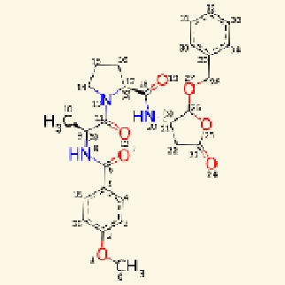 COc1ccc(C(=O)N[C@@H](C)C(=O)N2CCC[C@H]2C(=O)N[C@H]2CC(=O)OC2OCc2ccccc2)cc1